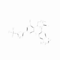 O=C1NCC(c2c(F)cc(-c3cnc(C(F)(F)F)s3)cc2F)N1c1ccc2[nH]cnc2c1